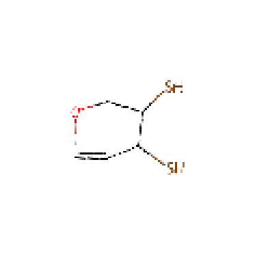 SC1C=COCC1S